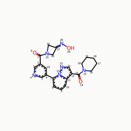 O=C(c1cncc(-c2cccc3c(C(=O)N4CCCCC4)cnn23)c1)N1CC(=NO)C1